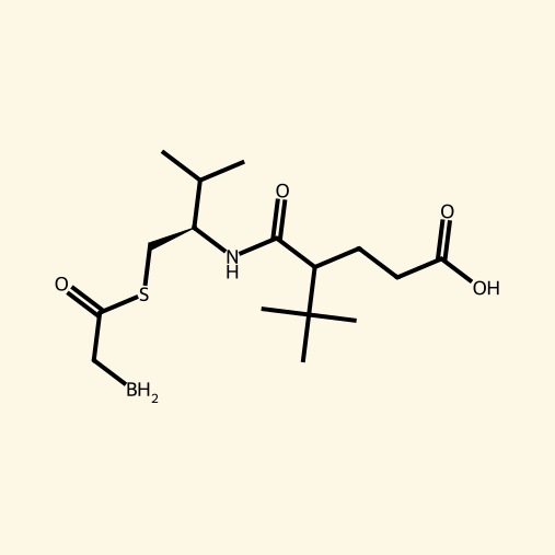 BCC(=O)SC[C@H](NC(=O)C(CCC(=O)O)C(C)(C)C)C(C)C